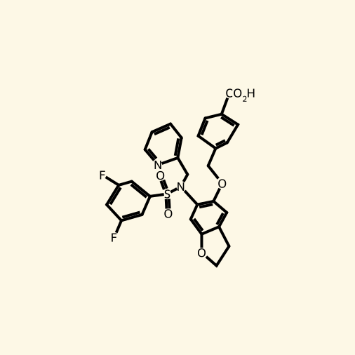 O=C(O)c1ccc(COc2cc3c(cc2N(Cc2ccccn2)S(=O)(=O)c2cc(F)cc(F)c2)OCC3)cc1